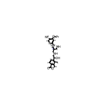 Cc1c([C@@H](O)CNC/C(C=N)=C/Nc2cc(OC(C)C)c(C#N)cn2)ccc2c1COC2=O